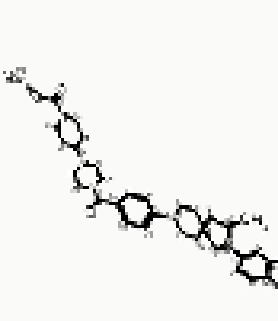 CC1CC2(CCN(c3ccc(C(=O)N4CCN(C5CCN(C(=O)OC(C)(C)C)CC5)CC4)cc3)CC2)CN1c1ccc(C#N)c(Cl)c1